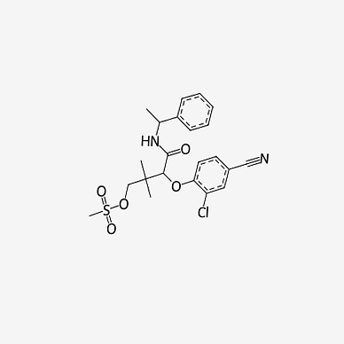 CC(NC(=O)C(Oc1ccc(C#N)cc1Cl)C(C)(C)COS(C)(=O)=O)c1ccccc1